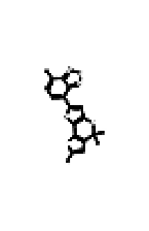 Cc1cc2c(s1)-c1sc(-c3ccc(C)c4nsnc34)cc1OC2(C)C